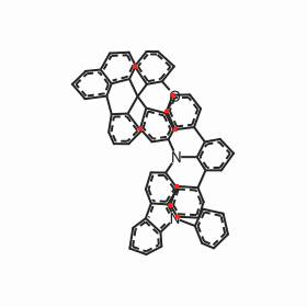 c1ccc(-c2cccc(-c3ccccc3)c2N(c2ccc3c(c2)Oc2ccccc2C32c3ccccc3-c3cccc4cccc2c34)c2ccc3c4ccccc4n(-c4ccccc4)c3c2)cc1